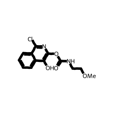 COCCNC(=O)Oc1nc(Cl)c2ccccc2c1O